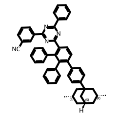 C[C@@H]1C[C@@H]2C[C@H](C)CC(c3ccc(-c4ccc(-c5nc(-c6ccccc6)nc(-c6cccc(C#N)c6)n5)c(-c5ccccc5)c4-c4ccccc4)cc3)(C1)C2